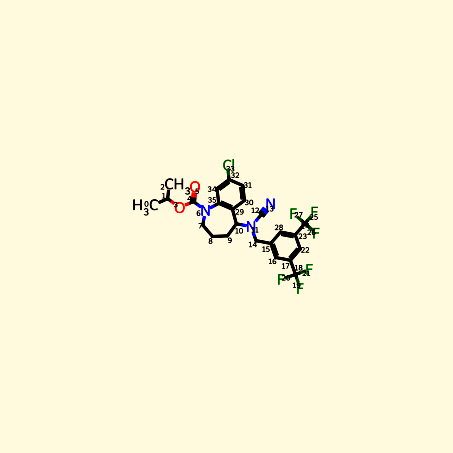 CC(C)OC(=O)N1CCCC(N(C#N)Cc2cc(C(F)(F)F)cc(C(F)(F)F)c2)c2ccc(Cl)cc21